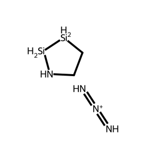 C1C[SiH2][SiH2]N1.N=[N+]=N